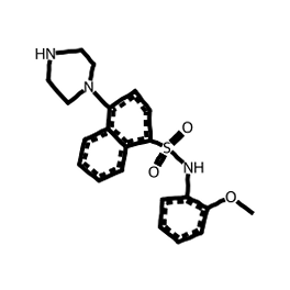 COc1ccccc1NS(=O)(=O)c1ccc(N2CCNCC2)c2ccccc12